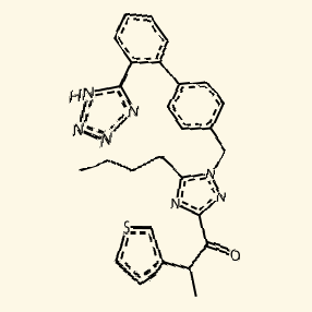 CCCCc1nc(C(=O)C(C)c2ccsc2)nn1Cc1ccc(-c2ccccc2-c2nnn[nH]2)cc1